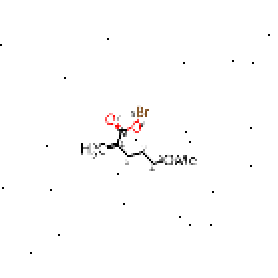 C=C(CCCOC)C(=O)OBr